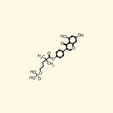 CC(C)(CCCOP(=O)(O)O)C(=O)Oc1ccc(-c2coc3cc(O)cc(O)c3c2=O)cc1